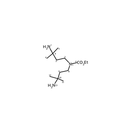 CCOC(=O)N(CCC(C)(C)N)CCC(C)(C)N